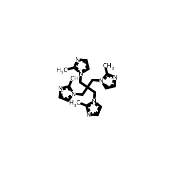 Cc1nccn1CC(Cn1ccnc1C)(Cn1ccnc1C)Cn1ccnc1C